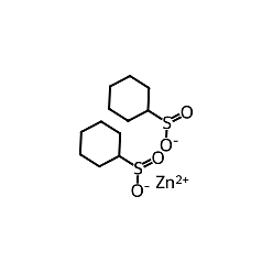 O=S([O-])C1CCCCC1.O=S([O-])C1CCCCC1.[Zn+2]